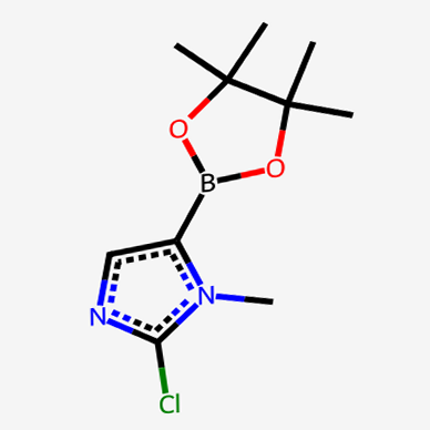 Cn1c(B2OC(C)(C)C(C)(C)O2)cnc1Cl